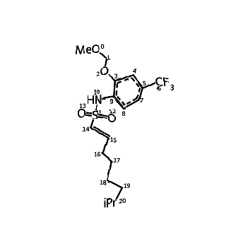 COCOc1cc(C(F)(F)F)ccc1NS(=O)(=O)C=CCCCCC(C)C